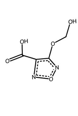 O=C(O)c1nonc1OCO